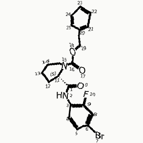 O=C(Nc1ccc(Br)cc1F)[C@@H]1CCCN1C(=O)OCc1ccccc1